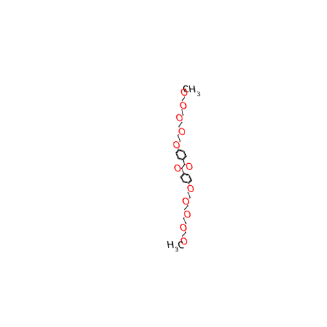 COCCOCCOCCOCCOc1ccc(C(=O)C(=O)c2ccc(OCCOCCOCCOCCOC)cc2)cc1